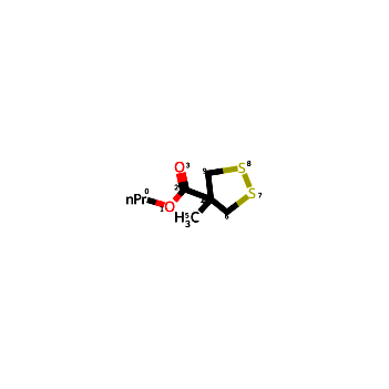 CCCOC(=O)C1(C)CSSC1